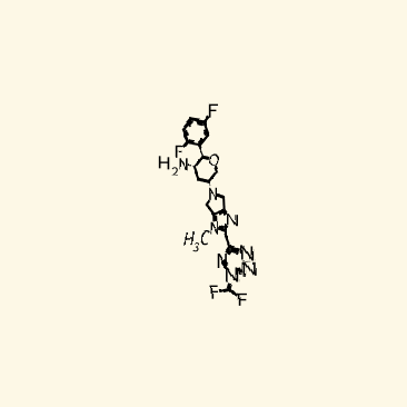 Cn1c(-c2nnn(C(F)F)n2)nc2c1CN([C@H]1CO[C@H](c3cc(F)ccc3F)[C@@H](N)C1)C2